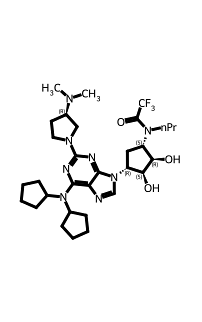 CCCN(C(=O)C(F)(F)F)[C@H]1C[C@@H](n2cnc3c(N(C4CCCC4)C4CCCC4)nc(N4CC[C@@H](N(C)C)C4)nc32)[C@H](O)[C@@H]1O